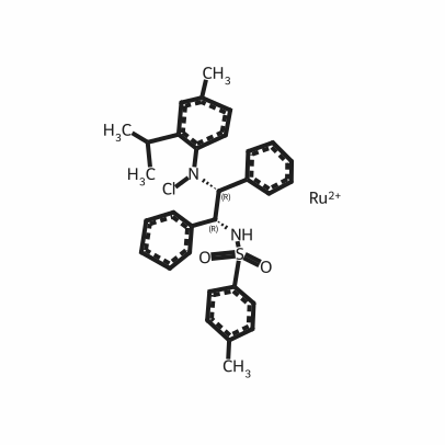 Cc1ccc(S(=O)(=O)N[C@H](c2ccccc2)[C@@H](c2ccccc2)N(Cl)c2ccc(C)cc2C(C)C)cc1.[Ru+2]